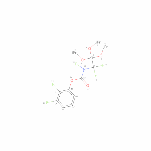 CC(C)O[Si](OC(C)C)(OC(C)C)C(F)(F)N(F)C(=O)Oc1cccc(F)c1F